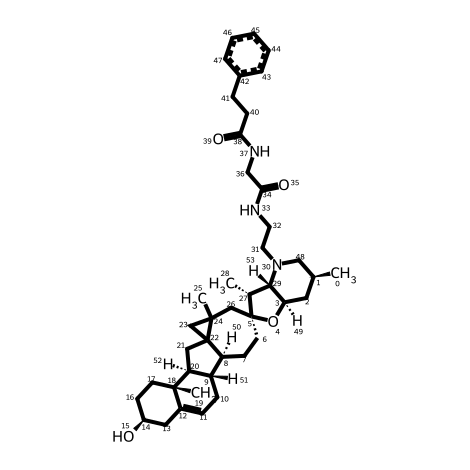 C[C@H]1C[C@H]2O[C@]3(CC[C@H]4[C@@H]5CC=C6C[C@@H](O)CC[C@]6(C)[C@H]5CC45CC5(C)C3)[C@H](C)[C@@H]2N(CCNC(=O)CNC(=O)CCc2ccccc2)C1